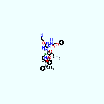 CC[C@H]1O[C@@H](n2cnc3c(OCCC#N)nc(NC(=O)COc4ccccc4)nc32)C(F)[C@H]1O[P@]1O[C@H](C[Si](C)(c2ccccc2)c2ccccc2)[C@@H]2CCCN21